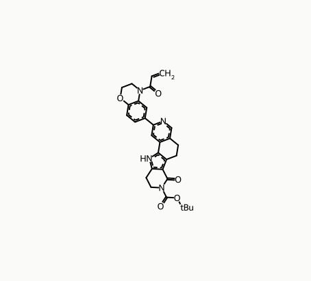 C=CC(=O)N1CCOc2ccc(-c3cc4c(cn3)CCc3c-4[nH]c4c3C(=O)N(C(=O)OC(C)(C)C)CC4)cc21